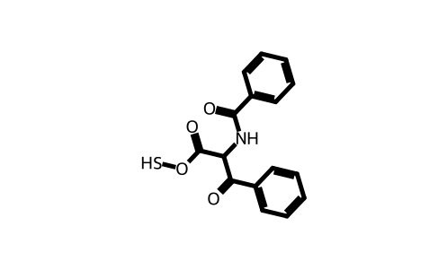 O=C(NC(C(=O)OS)C(=O)c1ccccc1)c1ccccc1